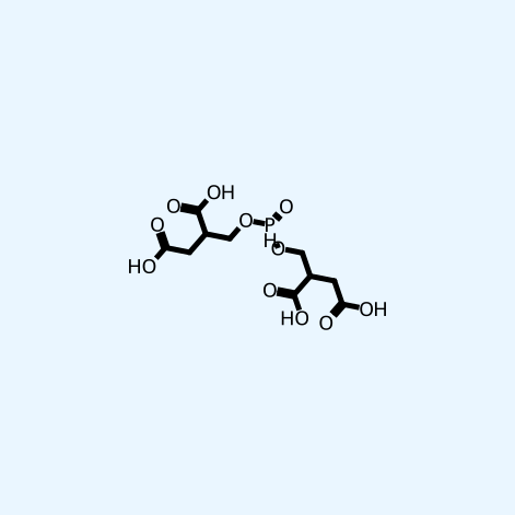 O=C(O)CC(CO[PH](=O)OCC(CC(=O)O)C(=O)O)C(=O)O